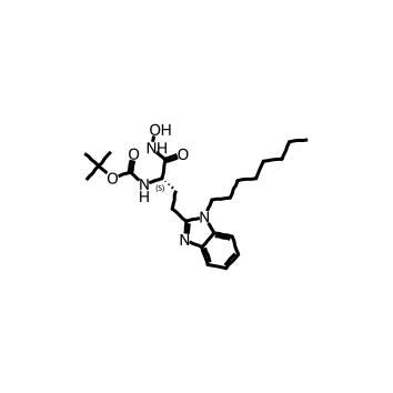 CCCCCCCCn1c(CC[C@H](NC(=O)OC(C)(C)C)C(=O)NO)nc2ccccc21